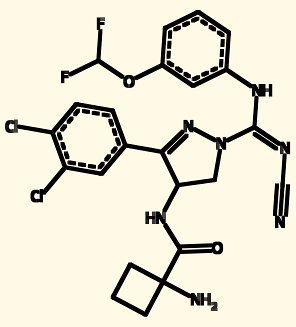 N#CN=C(Nc1cccc(OC(F)F)c1)N1CC(NC(=O)C2(N)CCC2)C(c2ccc(Cl)c(Cl)c2)=N1